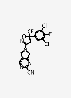 N#Cc1ncc2c(n1)CN(C1=NOC(c3cc(Cl)c(F)c(Cl)c3)(C(F)(F)F)C1)C2